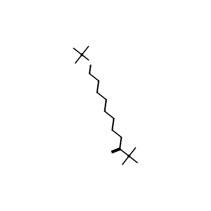 CC(C)(C)NCCCCCCCCC(=O)C(C)(C)C